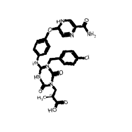 C[C@@H](CN1C(=O)NC(Nc2ccc(OC3C=NC(C(N)=O)=CN3)cc2)N(Cc2ccc(Cl)cc2)C1=O)C(=O)O